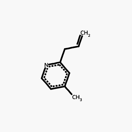 C=CCc1cc(C)ccn1